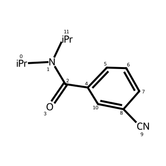 CC(C)N(C(=O)c1cccc(C#N)c1)C(C)C